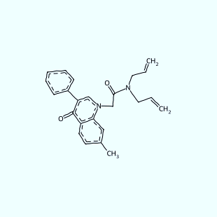 C=CCN(CC=C)C(=O)Cn1cc(-c2ccccc2)c(=O)c2ccc(C)cc21